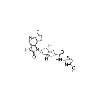 COc1nsc(NC(=O)N2C[C@H]3C[C@H](n4c(=O)[nH]c5cnc6[nH]ccc6c54)C[C@H]3C2)n1